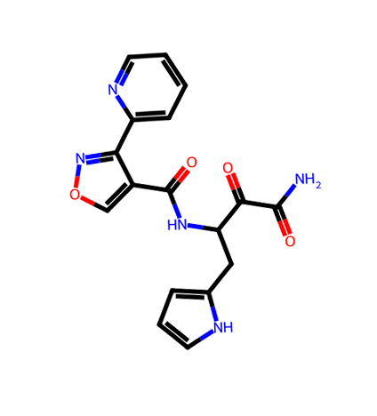 NC(=O)C(=O)C(Cc1ccc[nH]1)NC(=O)c1conc1-c1ccccn1